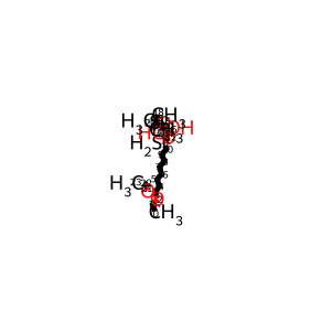 CCOC(CCCCCCC[SiH2]O[Si](O)(O)O[Si](C)(C)C)OCC